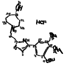 CC(C)(C)c1cc(-c2csc(CN3CCC(O)CC3)n2)cc(C(C)(C)C)c1O.Cl